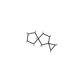 C1CCC2(C1)CCC1(CC1)C2